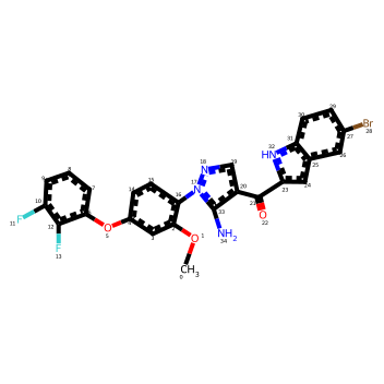 COc1cc(Oc2cccc(F)c2F)ccc1-n1ncc(C(=O)c2cc3cc(Br)ccc3[nH]2)c1N